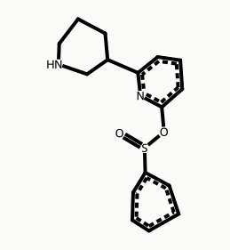 O=S(Oc1cccc(C2CCCNC2)n1)c1ccccc1